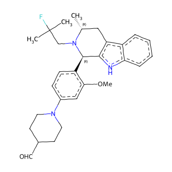 COc1cc(N2CCC(C=O)CC2)ccc1[C@@H]1c2[nH]c3ccccc3c2C[C@@H](C)N1CC(C)(C)F